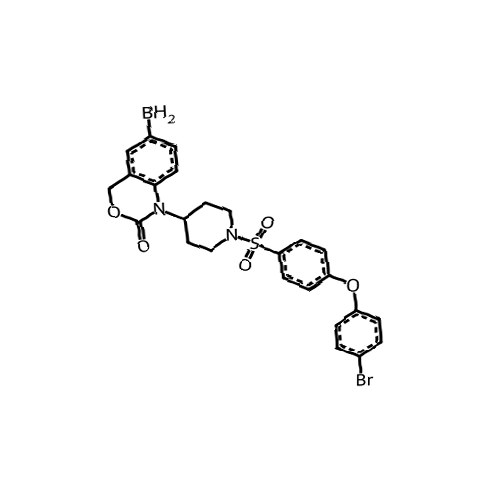 Bc1ccc2c(c1)COC(=O)N2C1CCN(S(=O)(=O)c2ccc(Oc3ccc(Br)cc3)cc2)CC1